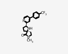 CN1CC[C@@]2(CC[C@@H](c3cc(-c4ccc(C(F)(F)F)cc4)ccn3)N2)C1=O